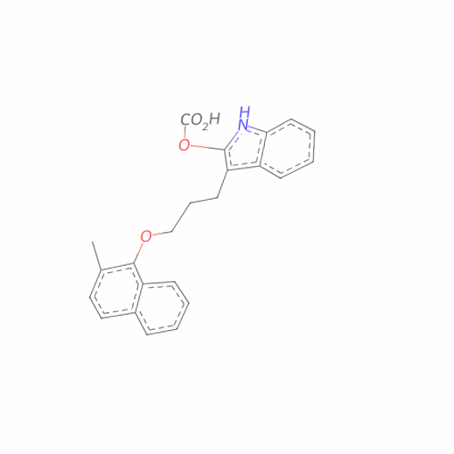 Cc1ccc2ccccc2c1OCCCc1c(OC(=O)O)[nH]c2ccccc12